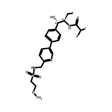 COCCS(=O)(=O)NCc1ccc(-c2ccc([C@H](O)[C@@H](CF)NC(=O)C(F)F)cc2)cn1